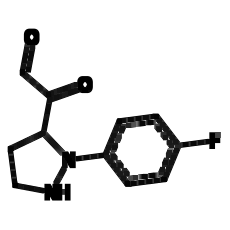 O=CC(=O)C1CCNN1c1ccc(F)cc1